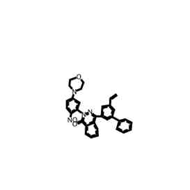 C=Cc1cc(-c2ccccc2)cc(-c2nn(-c3cc(N4CCOCC4)ccc3[N+](=O)[O-])c(=O)c3ccccc23)c1